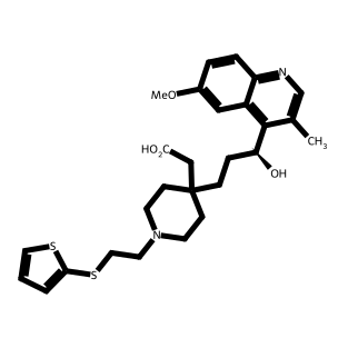 COc1ccc2ncc(C)c([C@@H](O)CCC3(CC(=O)O)CCN(CCSc4cccs4)CC3)c2c1